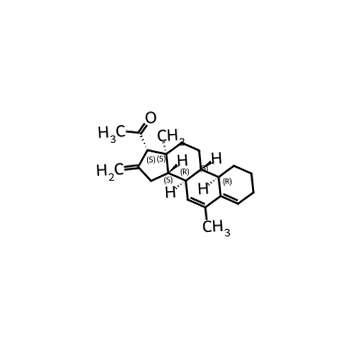 C=C1C[C@H]2[C@@H]3C=C(C)C4=CCCC[C@@H]4[C@H]3CC[C@]2(C)[C@H]1C(C)=O